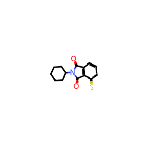 O=C1C2=C(C(=O)N1C1CCCCC1)C(=S)CC=C2